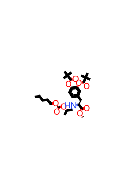 CCCCCOC(=O)OC(C)CN[C@@H](Cc1ccc(OC(=O)C(C)(C)C)c(OC(=O)C(C)(C)C)c1)C(=O)OC